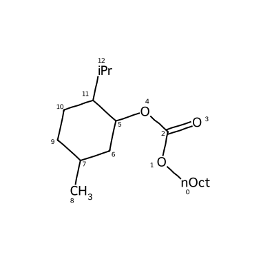 CCCCCCCCOC(=O)OC1CC(C)CCC1C(C)C